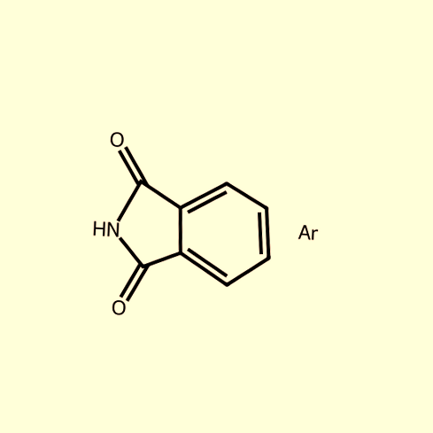 O=C1NC(=O)c2ccccc21.[Ar]